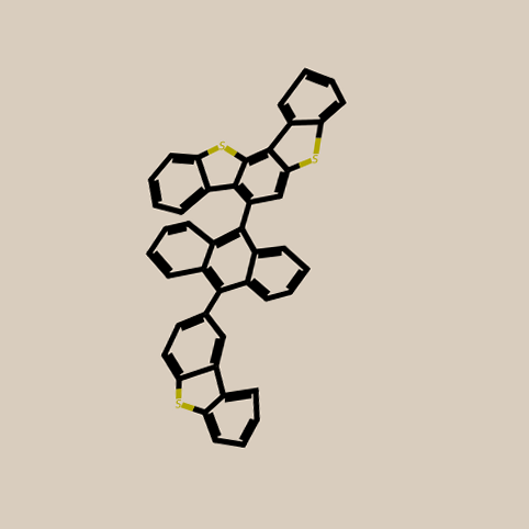 c1ccc2c(c1)sc1ccc(-c3c4ccccc4c(-c4cc5sc6ccccc6c5c5sc6ccccc6c45)c4ccccc34)cc12